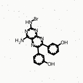 Nc1nc(NBr)nc2nc(-c3cccc(O)c3)c(-c3cccc(O)c3)nc12